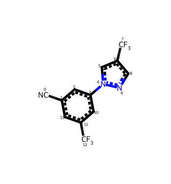 N#Cc1cc(-n2cc(C(F)(F)F)cn2)cc(C(F)(F)F)c1